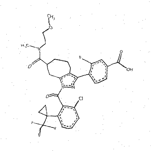 COCCN(C)C(=O)C1CCc2c(-c3ccc(C(=O)O)cc3F)nn(C(=O)c3c(Cl)cccc3C3(C(F)(F)F)CC3)c2C1